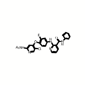 CC(=O)Nc1cc(Oc2ccc(Nc3ncccc3C(=O)Nc3ccccc3)cc2F)c(Cl)cn1